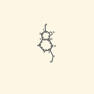 CCc1ccc2cc(C)oc2c1